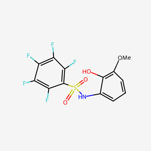 COc1cccc(NS(=O)(=O)c2c(F)c(F)c(F)c(F)c2F)c1O